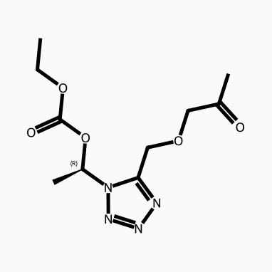 CCOC(=O)O[C@H](C)n1nnnc1COCC(C)=O